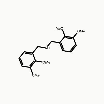 COc1cccc(CNCc2cccc(OC)c2OC)c1OC